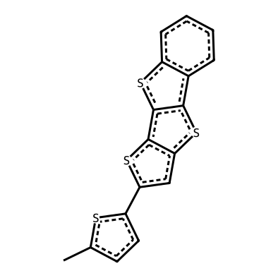 Cc1ccc(-c2cc3sc4c5ccccc5sc4c3s2)s1